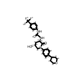 O=C(Nc1ccc(C(F)(F)F)cc1)N[C@@H]1C[C@@H](O)CN(c2ccc(C3CCOCC3)cc2)C1=O